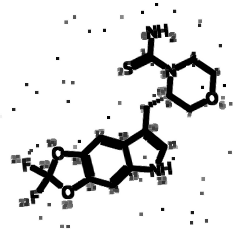 NC(=S)N1CCOC[C@@H]1Cc1c[nH]c2cc3c(cc12)OC(F)(F)O3